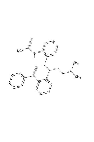 CC(=O)Nc1ncccc1NC(CCN(C)C)c1ccccc1C(=O)c1ccccc1